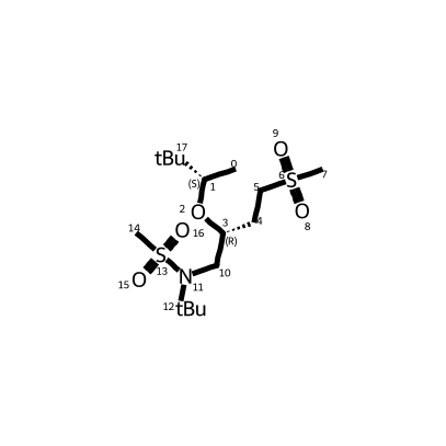 C[C@H](O[C@H](CCS(C)(=O)=O)CN(C(C)(C)C)S(C)(=O)=O)C(C)(C)C